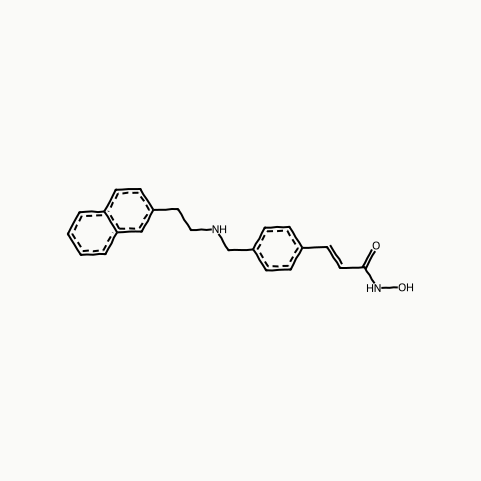 O=C(/C=C/c1ccc(CNCCc2ccc3ccccc3c2)cc1)NO